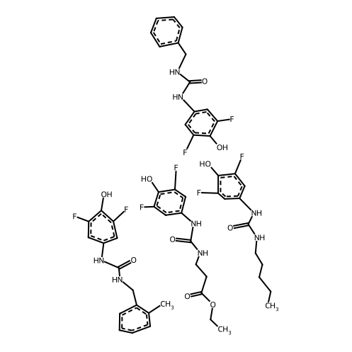 CCCCCNC(=O)Nc1cc(F)c(O)c(F)c1.CCOC(=O)CCNC(=O)Nc1cc(F)c(O)c(F)c1.Cc1ccccc1CNC(=O)Nc1cc(F)c(O)c(F)c1.O=C(NCc1ccccc1)Nc1cc(F)c(O)c(F)c1